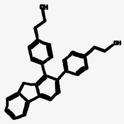 OCCc1ccc(-c2ccc3c(c2-c2ccc(CCO)cc2)Cc2ccccc2-3)cc1